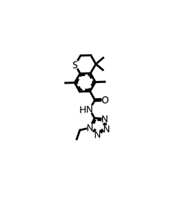 CCn1nnnc1NC(=O)c1cc(C)c2c(c1C)C(C)(C)CCS2